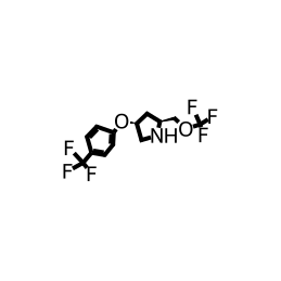 FC(F)(F)OC[C@@H]1C[C@@H](Oc2ccc(C(F)(F)F)cc2)CN1